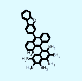 Bc1c(B)c(B)c2c(-c3c4ccccc4c(-c4ccc5c(c4)oc4ccccc45)c4ccccc34)c(B)c(B)c(B)c2c1B